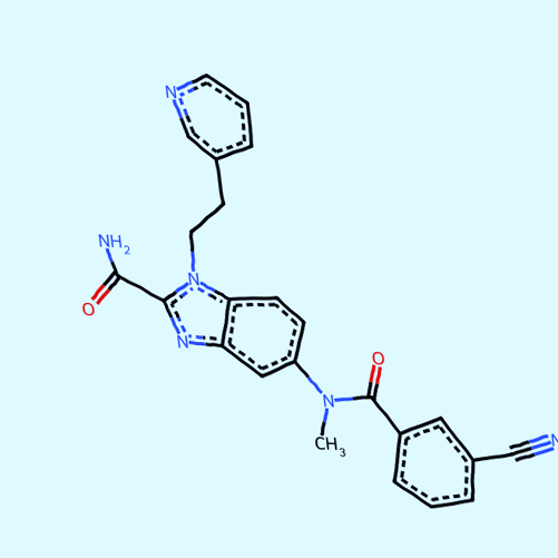 CN(C(=O)c1cccc(C#N)c1)c1ccc2c(c1)nc(C(N)=O)n2CCc1cccnc1